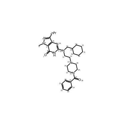 CCCc1nn(C)c2c(=O)[nH]c(N(CCN3CCN(C(=O)c4ccccc4)CC3)CC3CCCCC3)nc12